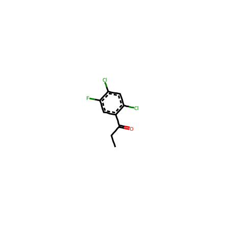 CCC(=O)c1cc(F)c(Cl)cc1Cl